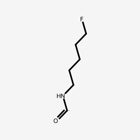 O=[C]NCCCCCF